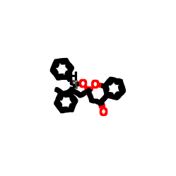 CCCCC1(O[SiH](c2ccccc2)c2ccccc2)CC(=O)c2ccccc2O1